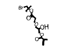 C=C(C)C(=O)OCC(O)COCCC(=O)OC(C)(C)CBr